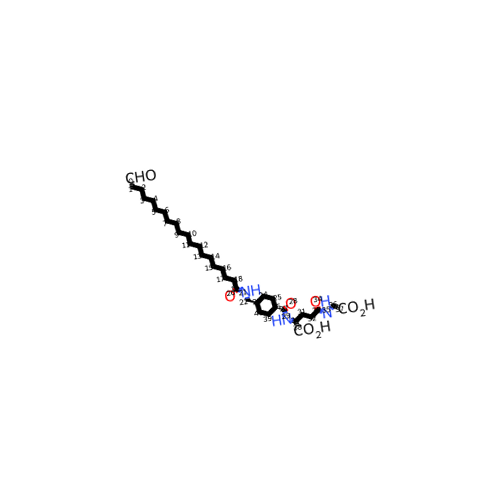 O=CCCCCCCCCCCCCCCCCCCC(=O)NC[C@H]1CC[C@H](C(=O)NC(CCC(=O)NCC(=O)O)C(=O)O)CC1